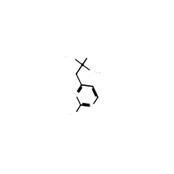 COC(Br)(Cc1ccnc(SC)n1)OC